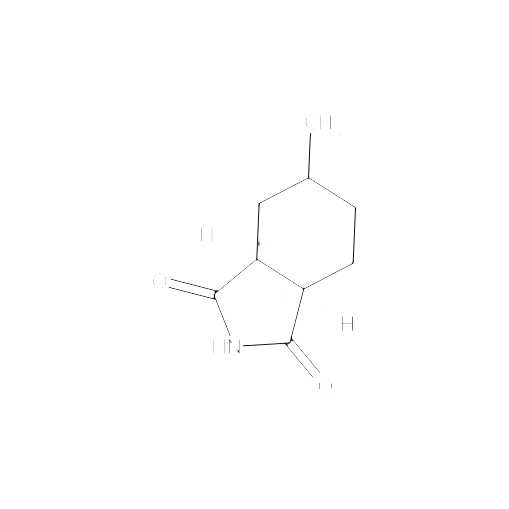 CC1CC[C@H]2C(=O)NC(=O)[C@H]2C1